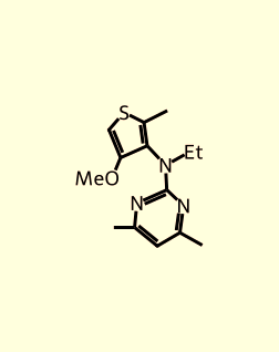 CCN(c1nc(C)cc(C)n1)c1c(OC)csc1C